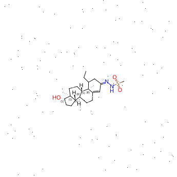 CCC1C/C(=N/NS(C)(=O)=O)C=C2CC[C@H]3[C@@H]4CC[C@H](O)[C@@]4(C)CC[C@@H]3[C@]21C